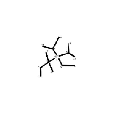 CCC(C)(C)[PH](CC)(C(C)C)C(C)C